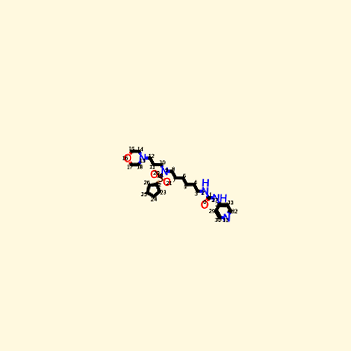 O=C(NCCCCCCN(CCCN1CCOCC1)S(=O)(=O)C1CCCC1)Nc1ccncc1